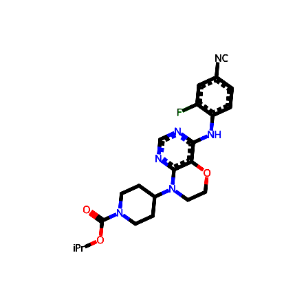 [C-]#[N+]c1ccc(Nc2ncnc3c2OCCN3C2CCN(C(=O)OC(C)C)CC2)c(F)c1